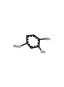 COc1ccc([NH])c(O)c1